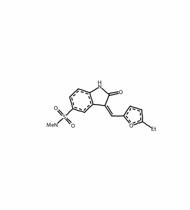 CCc1ccc(C=C2C(=O)Nc3ccc(S(=O)(=O)NC)cc32)o1